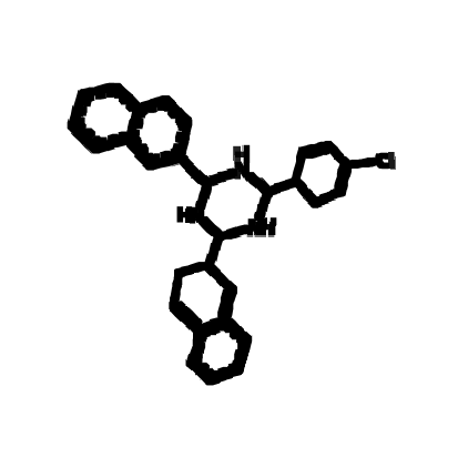 ClC1=CCC(C2NC(c3ccc4ccccc4c3)NC(C3C=c4ccccc4=CC3)N2)C=C1